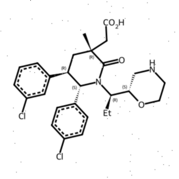 CC[C@H]([C@@H]1CNCCO1)N1C(=O)[C@@](C)(CC(=O)O)C[C@H](c2cccc(Cl)c2)[C@H]1c1ccc(Cl)cc1